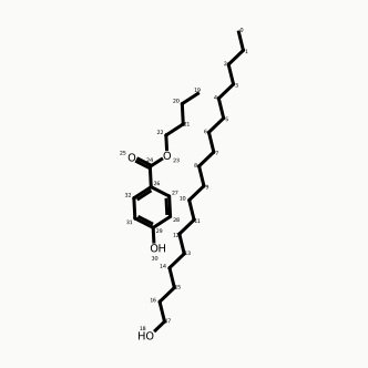 CCCCCCCCCCCCCCCCCCO.CCCCOC(=O)c1ccc(O)cc1